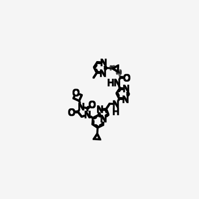 Cc1ccnc([C@H]2C[C@@H]2C(=O)Nc2cc(NCc3cn4cc(C5CC5)cc(N5CC(=O)N(C6COC6)C5=O)c4n3)ncn2)n1